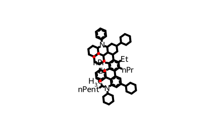 CCCCCC(C)N(c1cc(C2CCCCC2)cc(-c2c(CCC)c(CC)c(C3CC(C4CCCCC4)CC(N(c4ccccc4)C4CCCCC4)C3C3CCCCC3)c(CCC)c2CC)c1-c1ccccc1)C1CCCCC1